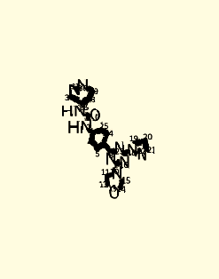 O=C(Nc1ccc(-c2nc(N3CCOCC3)nc(-n3cccn3)n2)cc1)Nc1ccnnc1